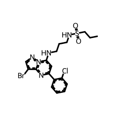 CCCS(=O)(=O)NCCCNc1cc(-c2ccccc2Cl)nc2c(Br)cnn12